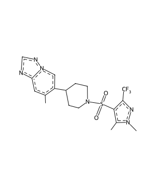 Cc1cc2ncnn2cc1C1CCN(S(=O)(=O)c2c(C(F)(F)F)nn(C)c2C)CC1